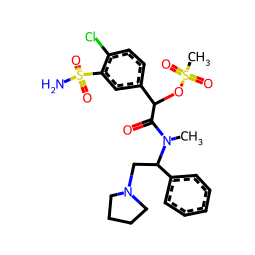 CN(C(=O)C(OS(C)(=O)=O)c1ccc(Cl)c(S(N)(=O)=O)c1)C(CN1CCCC1)c1ccccc1